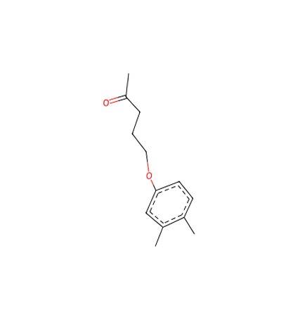 CC(=O)CCCOc1ccc(C)c(C)c1